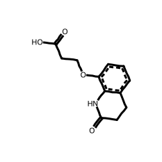 O=C(O)CCOc1cccc2c1NC(=O)CC2